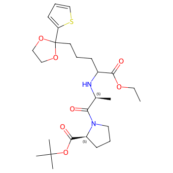 CCOC(=O)C(CCCC1(c2cccs2)OCCO1)N[C@@H](C)C(=O)N1CCC[C@H]1C(=O)OC(C)(C)C